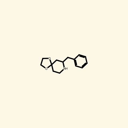 c1ccc(CC2CC3(CCN2)OCCO3)cc1